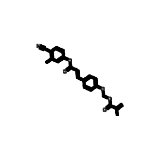 C=C(C)C(=O)OCOc1ccc(C=CC(=O)Oc2ccc(C#N)c(C)c2)cc1